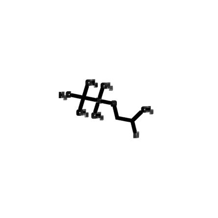 [Li][CH](C)CO[Si](C)(C)C(C)(C)C